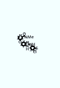 CNC(=O)c1cc(Oc2ccc3[nH]c(Nc4ccc(Cl)c(F)c4)nc3c2)ccn1